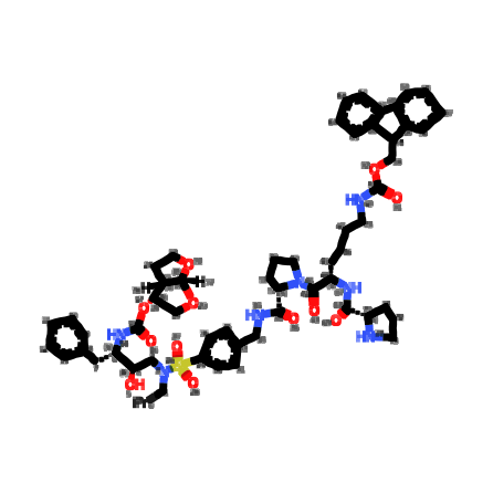 CC(C)CN(C[C@@H](O)[C@H](Cc1ccccc1)NC(=O)O[C@H]1CO[C@H]2OCC[C@H]21)S(=O)(=O)c1ccc(CNC(=O)[C@@H]2CCCN2C(=O)[C@H](CCCCNC(=O)OCC2c3ccccc3-c3ccccc32)NC(=O)[C@@H]2CCCN2)cc1